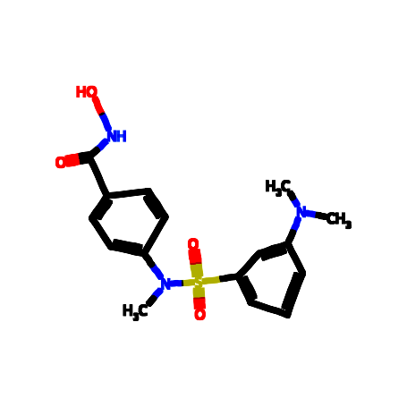 CN(C)c1cccc(S(=O)(=O)N(C)c2ccc(C(=O)NO)cc2)c1